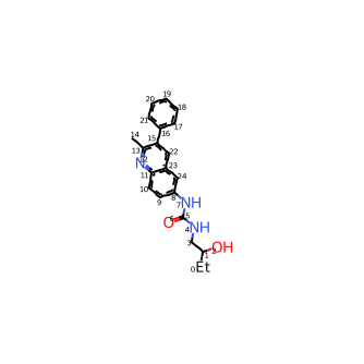 CCC(O)CNC(=O)Nc1ccc2nc(C)c(-c3ccccc3)cc2c1